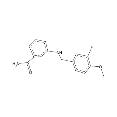 COc1ccc(CNc2cccc(C(N)=O)c2)cc1F